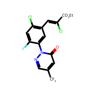 CCOC(=O)C(Cl)=Cc1cc(-n2ncc(C(F)(F)F)cc2=O)c(F)cc1Cl